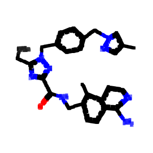 COCc1nc(C(=O)NCc2ccc3c(N)nccc3c2C)nn1Cc1ccc(Cn2cc(C)cn2)cc1